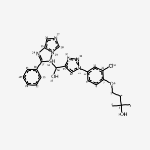 CC(C)(O)CCOc1ccc(-n2cc(C(O)[SH]3C(c4ccccc4)=Nc4cncn43)nn2)cc1Cl